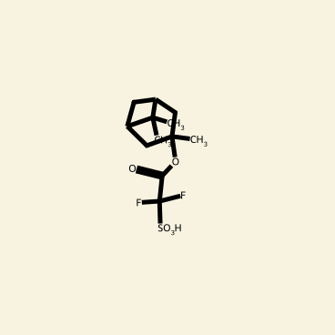 CC1(OC(=O)C(F)(F)S(=O)(=O)O)CC2CC(C1)C2(C)C